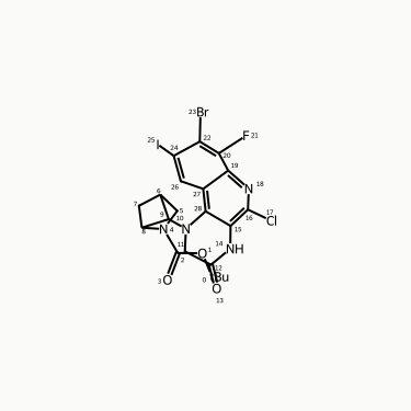 CC(C)(C)OC(=O)N1CC2CC1C2N1CC(=O)Nc2c(Cl)nc3c(F)c(Br)c(I)cc3c21